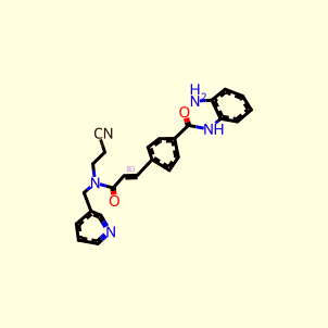 N#CCCN(Cc1cccnc1)C(=O)/C=C/c1ccc(C(=O)Nc2ccccc2N)cc1